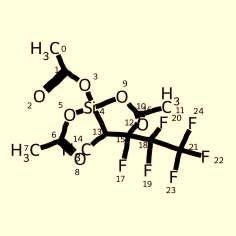 CC(=O)O[Si](OC(C)=O)(OC(C)=O)C(C)C(F)(F)C(F)(F)C(F)(F)F